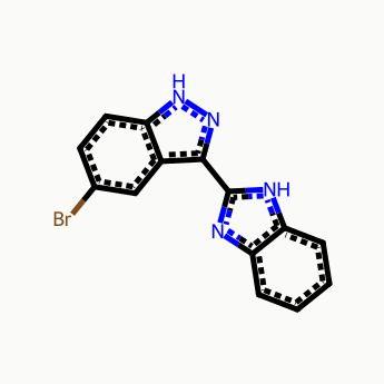 Brc1ccc2[nH]nc(-c3nc4ccccc4[nH]3)c2c1